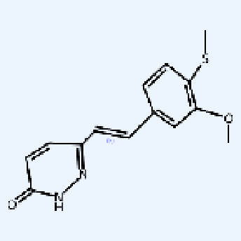 COc1cc(/C=C/c2ccc(=O)[nH]n2)ccc1SC